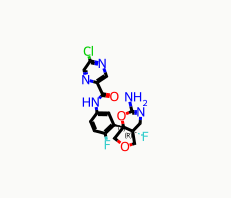 NC1=NC[C@@]2(F)COC[C@]2(c2cc(NC(=O)c3cnc(Cl)cn3)ccc2F)O1